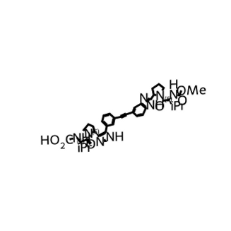 COC(=O)N[C@H](C(=O)N1CCCC1c1nc2cc(C#Cc3cccc(-c4[nH]cnc4[C@@H]4CCCN4C(=O)[C@@H](NC(=O)O)C(C)C)c3)ccc2[nH]1)C(C)C